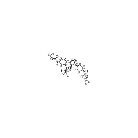 CC(C)OC(=O)Nc1ccc(-c2cnc(N3CCC(NC(=O)OC(C)(C)C)CC3)s2)c([S+]([O-])NC(C)(C)C)c1